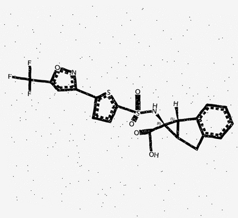 O=C(O)[C@@]1(NS(=O)(=O)c2ccc(-c3cc(C(F)(F)F)on3)s2)C2Cc3ccccc3[C@H]21